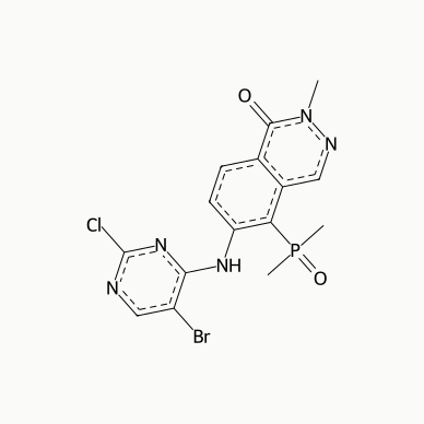 Cn1ncc2c(P(C)(C)=O)c(Nc3nc(Cl)ncc3Br)ccc2c1=O